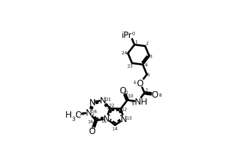 CC(C)C1CC=C(COC(=O)NC(=O)c2ncn3c(=O)n(C)nnc23)CC1